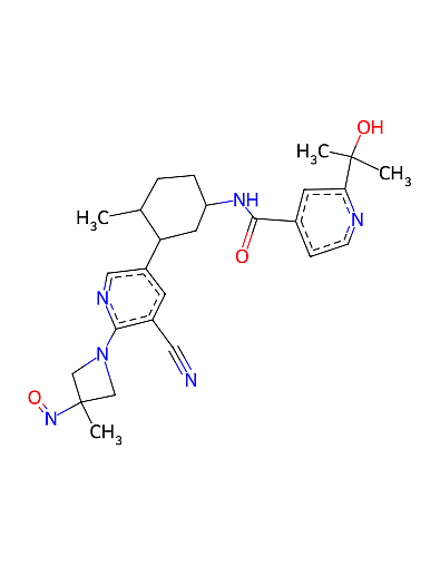 CC1CCC(NC(=O)c2ccnc(C(C)(C)O)c2)CC1c1cnc(N2CC(C)(N=O)C2)c(C#N)c1